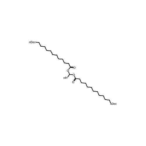 CCCCCCCCCCCCCCCCCCCCCC(=O)OC(CCC)OC(=O)CCCCCCCCCCCCCCCCCCCCC